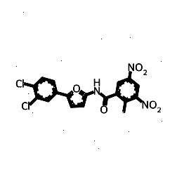 Cc1c(C(=O)Nc2ccc(-c3ccc(Cl)c(Cl)c3)o2)cc([N+](=O)[O-])cc1[N+](=O)[O-]